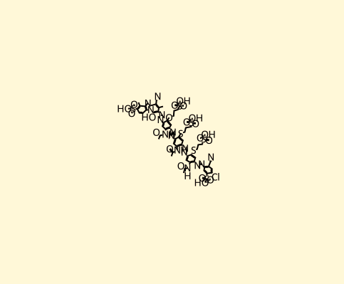 CC(=O)Nc1cc(N=Nc2cc(SCCCS(=O)(=O)O)c(N=Nc3cc(OCCCS(=O)(=O)O)c(N=Nc4c(C)c(C#N)c5nc6c(C)c(S(=O)(=O)O)ccc6n5c4O)cc3NC(C)=O)cc2NC(C)=O)c(SCCCS(=O)(=O)O)cc1N=Nc1cc(S(=O)(=O)O)c(Cl)cc1C#N